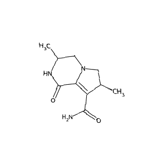 CC1CN2CC(C)C(C(N)=O)=C2C(=O)N1